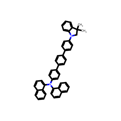 CC1(C)CN(c2ccc(-c3ccc(-c4ccc(N(c5cccc6ccccc56)c5cccc6ccccc56)cc4)cc3)cc2)c2ccccc21